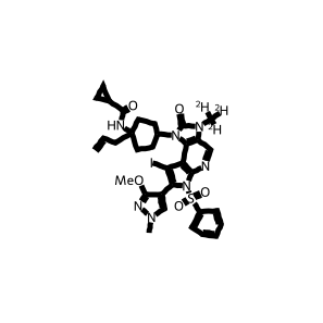 [2H]C([2H])([2H])n1c(=O)n(C2CCC(CC=C)(NC(=O)C3CC3)CC2)c2c3c(I)c(-c4cn(C)nc4OC)n(S(=O)(=O)c4ccccc4)c3ncc21